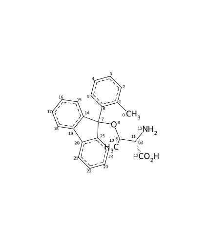 Cc1ccccc1C1(OC(C)[C@H](N)C(=O)O)c2ccccc2-c2ccccc21